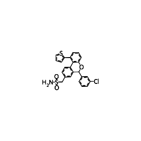 NS(=O)(=O)Cc1ccc2c(c1)C(c1cccc(Cl)c1)Oc1cccc(-c3cccs3)c1-2